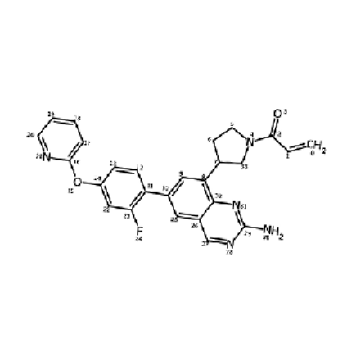 C=CC(=O)N1CCC(c2cc(-c3ccc(Oc4ccccn4)cc3F)cc3cnc(N)nc23)C1